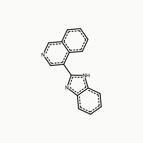 c1ccc2c(-c3nc4ccccc4[nH]3)cncc2c1